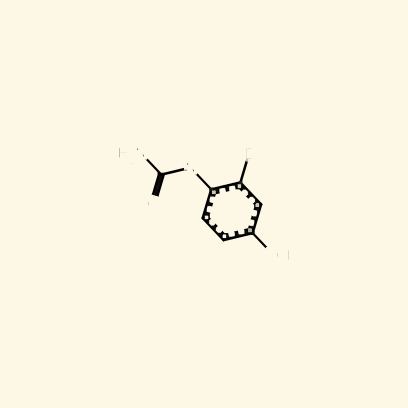 CCc1cc(O)ccc1NC(N)=O